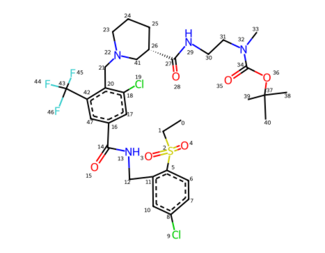 CCS(=O)(=O)c1ccc(Cl)cc1CNC(=O)c1cc(Cl)c(CN2CCC[C@H](C(=O)NCCN(C)C(=O)OC(C)(C)C)C2)c(C(F)(F)F)c1